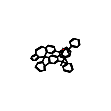 CC1(C)c2ccccc2-c2cc3c(cc21)-c1ccccc1C31c2ccccc2C=Cc2ccc(-c3cc(-c4ccccc4)nc(-c4ccccc4)n3)cc21